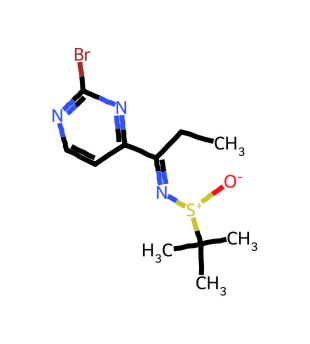 CC/C(=N\[S+]([O-])C(C)(C)C)c1ccnc(Br)n1